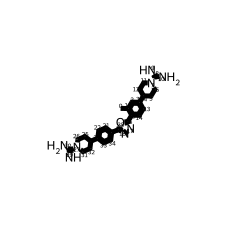 Cc1cc(C2CCN(C(=N)N)CC2)ccc1-c1nnc(-c2ccc(C3CCN(C(=N)N)CC3)cc2)o1